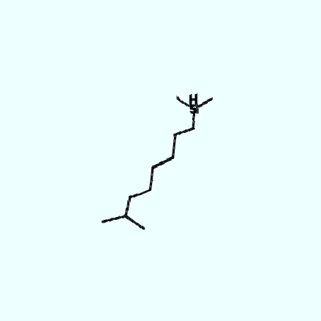 CC(C)CCCCCC[SiH](C)C